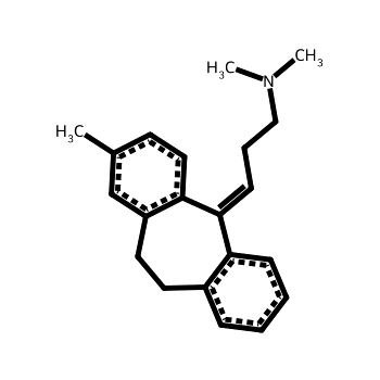 Cc1ccc2c(c1)CCc1ccccc1/C2=C/CCN(C)C